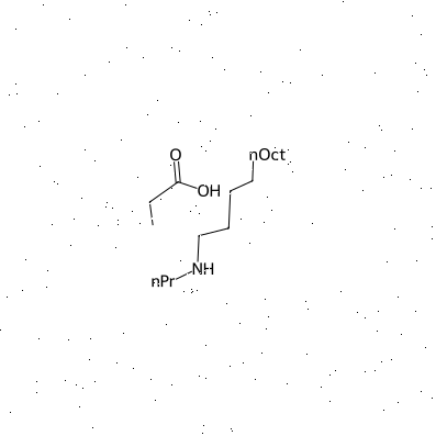 CCC(=O)O.CCCCCCCCCCCCNCCC